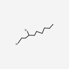 CCCCCCC(Br)CCBr